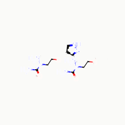 COCCN(N)C(N)=O.COCCN(N)C(N)=O.c1cn[nH]c1